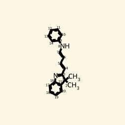 CC1(C)C(/C=C/C=C/Nc2ccccc2)=Nc2ccccc21